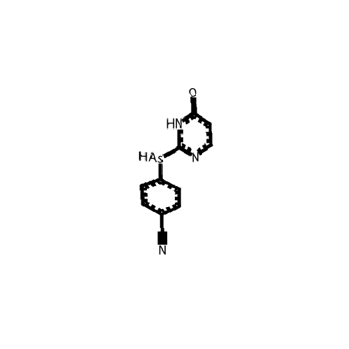 N#Cc1ccc([AsH]c2nccc(=O)[nH]2)cc1